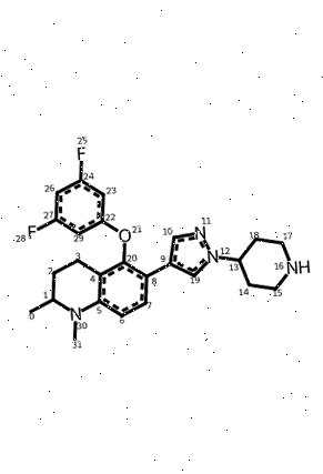 CC1CCc2c(ccc(-c3cnn(C4CCNCC4)c3)c2Oc2cc(F)cc(F)c2)N1C